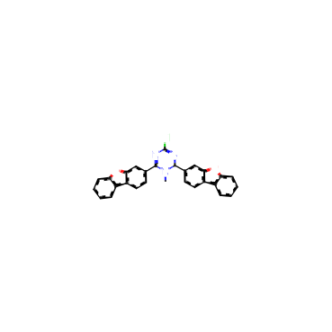 CN1C(c2ccc3c(c2)oc2ccccc23)=NC(Cl)=NC1c1ccc2c(c1)oc1ccccc12